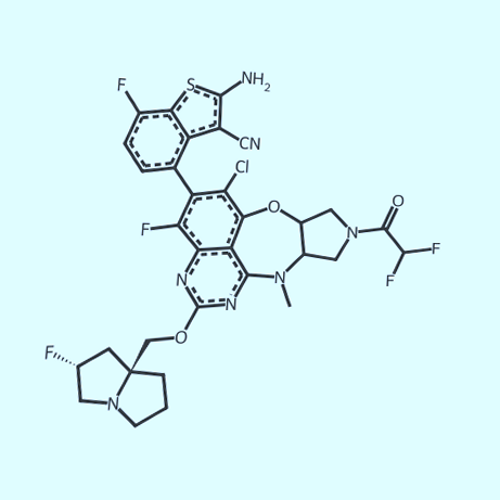 CN1c2nc(OC[C@@]34CCCN3C[C@H](F)C4)nc3c(F)c(-c4ccc(F)c5sc(N)c(C#N)c45)c(Cl)c(c23)OC2CN(C(=O)C(F)F)CC21